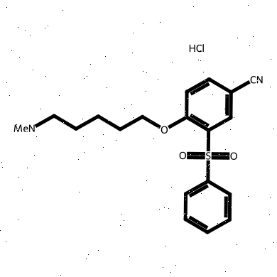 CNCCCCCOc1ccc(C#N)cc1S(=O)(=O)c1ccccc1.Cl